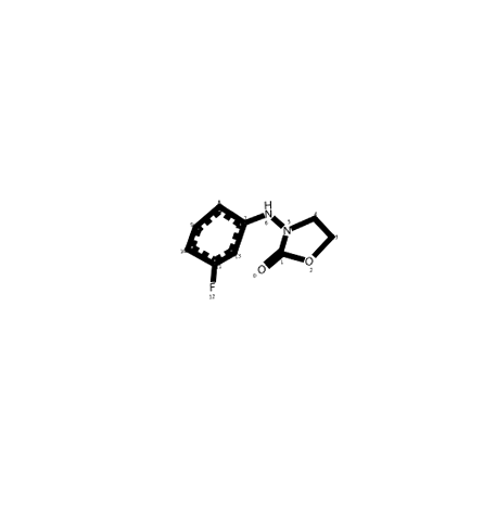 O=C1OCCN1Nc1cccc(F)c1